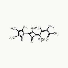 C=C(C)/C(C)=C(C)\C(C)=C1\C(=O)C(c2[nH]c(C)c(C)c2C)=C1O